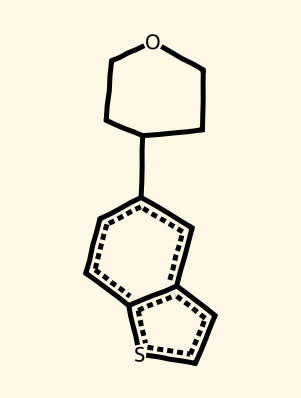 c1cc2cc(C3CCOCC3)ccc2s1